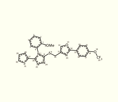 COc1ccccc1-n1c(SCc2coc(-c3ccc(OC(F)(F)F)cc3)n2)nnc1-c1cccs1